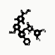 COc1ncc(-c2c(C)cc(C(=O)OC(C)(C)C)cc2C)cc1-c1ccc(N2CCOCC2)nc1CN1C(=O)O[C@H](c2cc(C(F)(F)F)cc(C(F)(F)F)c2)[C@@H]1C